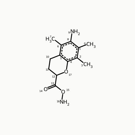 Cc1c(C)c2c(c(C)c1N)CCC(C(=O)ON)O2